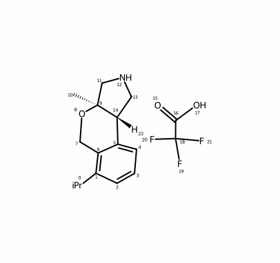 CC(C)c1cccc2c1CO[C@@]1(C)CNC[C@H]21.O=C(O)C(F)(F)F